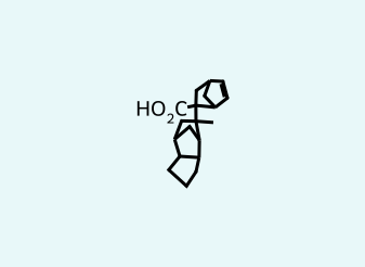 CC1(C2(C(=O)O)CC3C=CC2C3)CC2CC1C1CCCC21